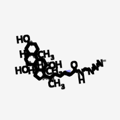 C[C@H](CC/C=C/C(=O)NCN=[N+]=[N-])[C@H]1CC[C@H]2[C@H]3C(C[C@H](O)[C@]12C)[C@@]1(C)CC[C@@H](O)C[C@H]1C[C@H]3O